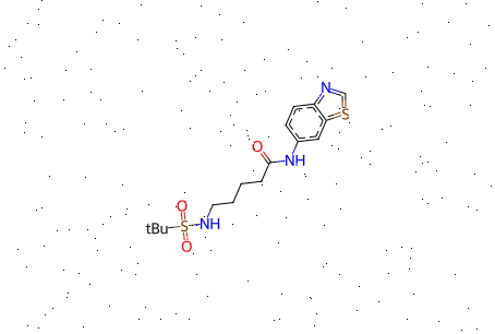 CC(C)(C)S(=O)(=O)NCCCCC(=O)Nc1ccc2ncsc2c1